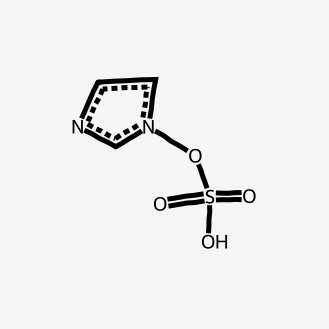 O=S(=O)(O)On1ccnc1